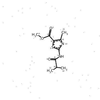 COC(=O)c1sc(NC(=O)C(C)C)nc1C